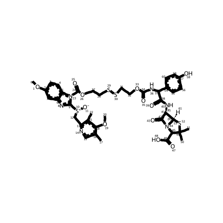 COc1ccc2c(c1)nc([S+]([O-])Cc1ncc(C)c(OC)c1C)n2C(=O)OCCSSCCOC(=O)NC(C(=O)N[C@@H]1C(=O)N2C(C(=O)O)C(C)(C)S[C@H]12)c1ccc(O)cc1